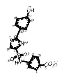 O=C(O)c1ccc(NS(=O)(=O)c2csc(-c3ccc(O)cc3)n2)cc1